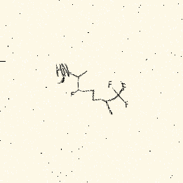 CNC(C)C(F)CCC(C)C(F)(F)F